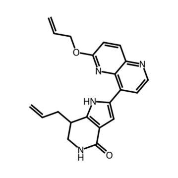 C=CCOc1ccc2nccc(-c3cc4c([nH]3)C(CC=C)CNC4=O)c2n1